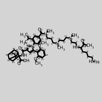 [2H]NCCCCC(NCCN(C)CCCN(C)CCCN(C)C(=O)c1ccc(-n2nc(C(=O)NC3(C(=O)O)C4CC5CC(C4)CC3C5)cc2-c2c(OC)cccc2OC)c(C(C)C)c1)C(C)=O